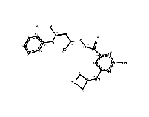 CC(C)c1nc(NC2COC2)cc(C(=O)NCC(O)CN2CCc3ccccc3C2)n1